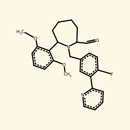 COc1cccc(OC)c1C1CCCCC(C=O)N1Cc1ccc(F)c(-c2ccccn2)c1